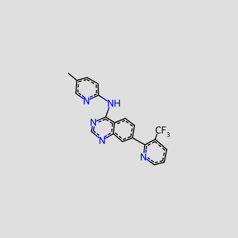 Cc1ccc(Nc2ncnc3cc(-c4ncccc4C(F)(F)F)ccc23)nc1